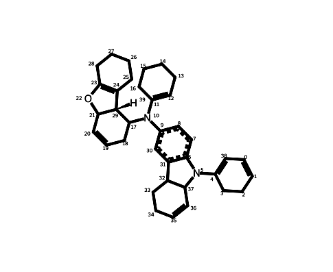 C1=CCCC(N2c3ccc(N(C4=CCCCC4)C4CC=CC5OC6=C(CCCC6)[C@@H]54)cc3C3CCC=CC32)=C1